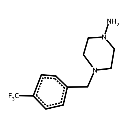 NN1CCN(Cc2ccc(C(F)(F)F)cc2)CC1